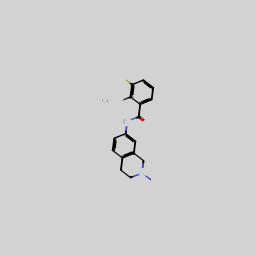 COc1c(F)cccc1C(=O)Nc1ccc2c(c1)CN(C)CC2